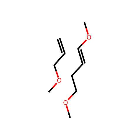 C=CCOC.COC=CCCOC